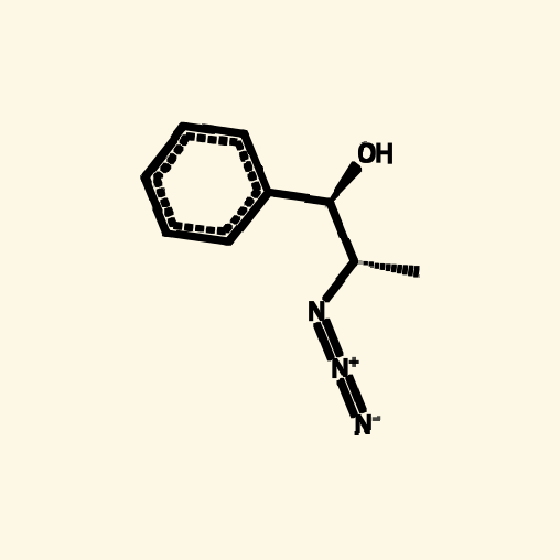 C[C@H](N=[N+]=[N-])[C@H](O)c1ccccc1